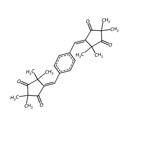 CC1(C)C(=O)C(=Cc2ccc(C=C3C(=O)C(C)(C)C(=O)C3(C)C)cc2)C(C)(C)C1=O